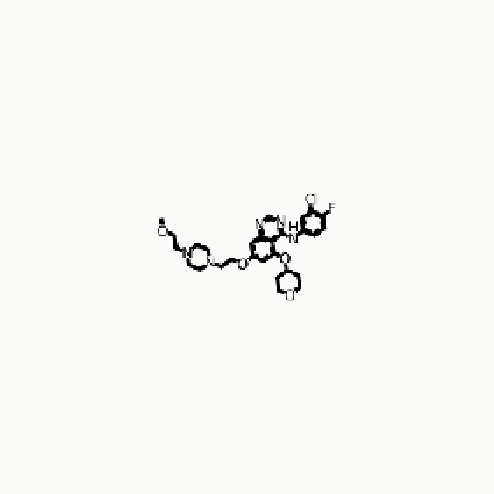 COCCN1CCN(CCOc2cc(OC3CCOCC3)c3c(Nc4ccc(F)c(Cl)c4)ncnc3c2)CC1